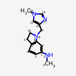 CNc1ccc2c(c1)N(Cc1cn(C)cn1)CC2